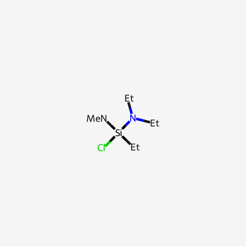 CCN(CC)[Si](Cl)(CC)NC